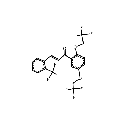 O=C(C=Cc1ccccc1C(F)(F)F)c1cc(OCC(F)(F)F)ccc1OCC(F)(F)F